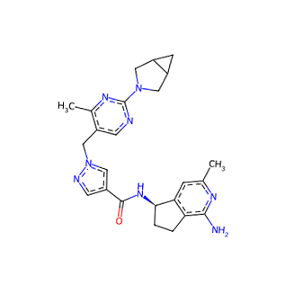 Cc1cc2c(c(N)n1)CC[C@H]2NC(=O)c1cnn(Cc2cnc(N3CC4CC4C3)nc2C)c1